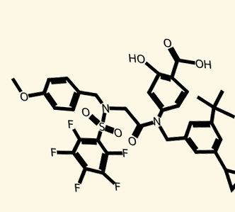 COc1ccc(CN(CC(=O)N(Cc2cc(C3CC3)cc(C(C)(C)C)c2)c2ccc(C(=O)O)c(O)c2)S(=O)(=O)c2c(F)c(F)c(F)c(F)c2F)cc1